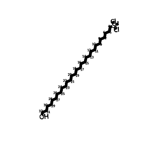 C[Si](Cl)(Cl)CCCCCCCCCCCCCCCCCCCCCCCCCCCCCO